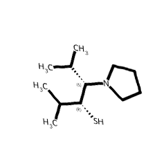 CC(C)[C@@H](S)[C@H](C(C)C)N1CCCC1